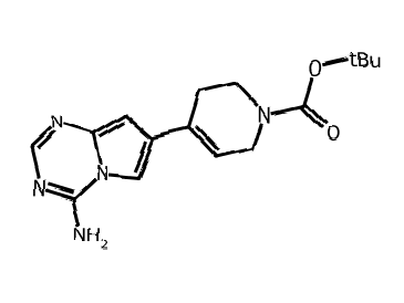 CC(C)(C)OC(=O)N1CC=C(c2cc3ncnc(N)n3c2)CC1